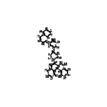 c1ccc2c(-c3cc(-c4ccc(-c5nc6ccccc6c6c5ccc5ccccc56)cc4)ccn3)cccc2c1